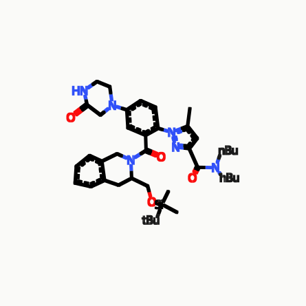 CCCCN(CCCC)C(=O)c1cc(C)n(-c2ccc(N3CCNC(=O)C3)cc2C(=O)N2Cc3ccccc3CC2CO[Si](C)(C)C(C)(C)C)n1